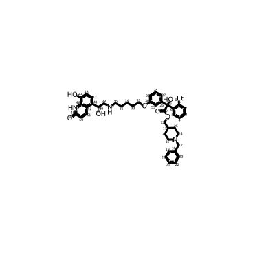 CCc1ccccc1C(O)(C(=O)OCC1CCN(Cc2ccccc2)CC1)c1cccc(OCCCCCNC[C@H](O)c2ccc(O)c3[nH]c(=O)ccc23)c1